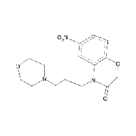 O=C1COc2ccc([N+](=O)[O-])cc2N1CCCN1CCOCC1